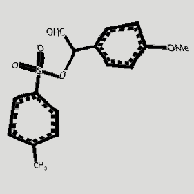 COc1ccc(C(C=O)OS(=O)(=O)c2ccc(C)cc2)cc1